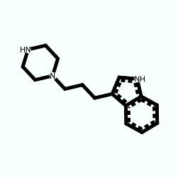 c1ccc2c(CCCN3CCNCC3)c[nH]c2c1